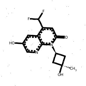 C[C@]1(O)C[C@@H](n2c(=O)cc(C(F)F)c3cc(O)cnc32)C1